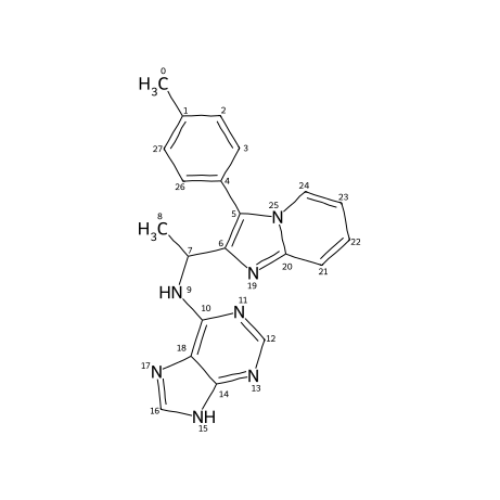 Cc1ccc(-c2c(C(C)Nc3ncnc4[nH]cnc34)nc3ccccn23)cc1